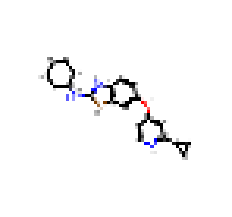 c1cc(Oc2ccc3nc(NC4CCCCC4)sc3c2)cc(C2CC2)n1